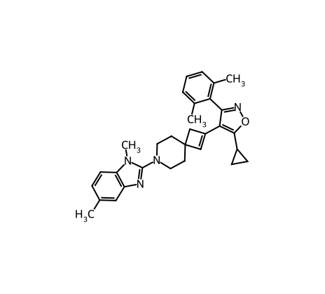 Cc1ccc2c(c1)nc(N1CCC3(C=C(c4c(-c5c(C)cccc5C)noc4C4CC4)C3)CC1)n2C